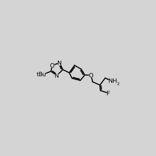 CC(C)(C)c1nc(-c2ccc(OC/C(=C/F)CN)cc2)no1